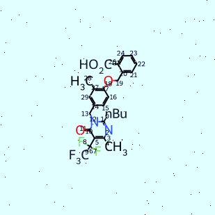 CCCCc1nc(C)c(C(F)(F)C(F)(F)F)c(=O)n1Cc1ccc(OCc2ccccc2C(=O)O)c(C)c1